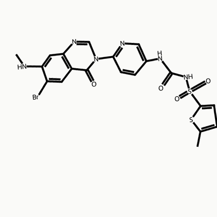 CNc1cc2ncn(-c3ccc(NC(=O)NS(=O)(=O)c4ccc(C)s4)cn3)c(=O)c2cc1Br